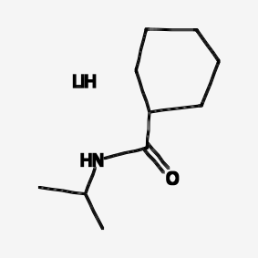 CC(C)NC(=O)C1CCCCC1.[LiH]